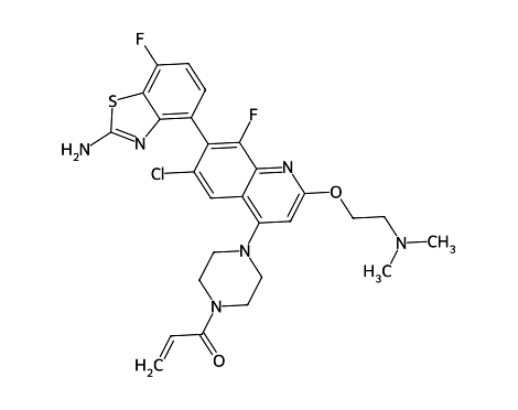 C=CC(=O)N1CCN(c2cc(OCCN(C)C)nc3c(F)c(-c4ccc(F)c5sc(N)nc45)c(Cl)cc23)CC1